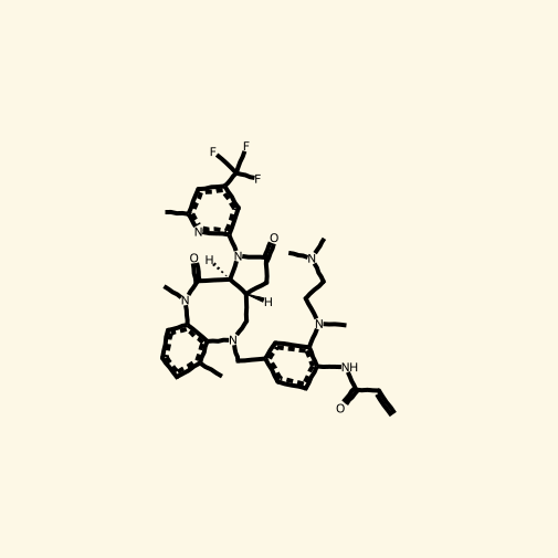 C=CC(=O)Nc1ccc(CN2C[C@H]3CC(=O)N(c4cc(C(F)(F)F)cc(C)n4)[C@@H]3C(=O)N(C)c3cccc(C)c32)cc1N(C)CCN(C)C